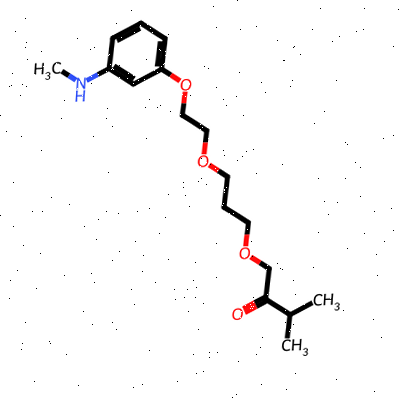 CNc1cccc(OCCOCCCOCC(=O)C(C)C)c1